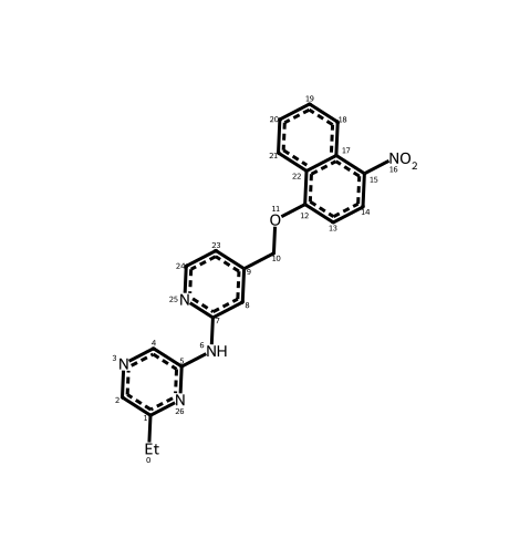 CCc1cncc(Nc2cc(COc3ccc([N+](=O)[O-])c4ccccc34)ccn2)n1